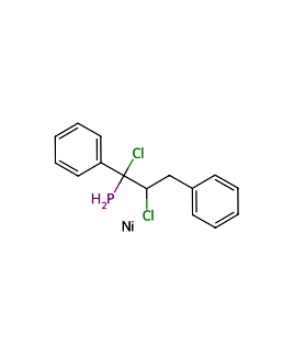 PC(Cl)(c1ccccc1)C(Cl)Cc1ccccc1.[Ni]